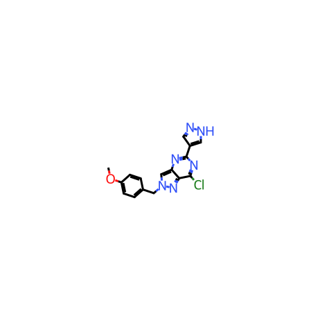 COc1ccc(Cn2cc3nc(-c4cn[nH]c4)nc(Cl)c3n2)cc1